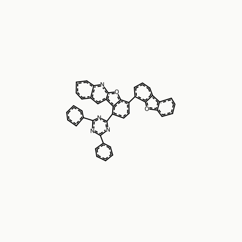 c1ccc(-c2nc(-c3ccccc3)nc(-c3ccc(-c4cccc5c4oc4ccccc45)c4oc5nc6ccccc6cc5c34)n2)cc1